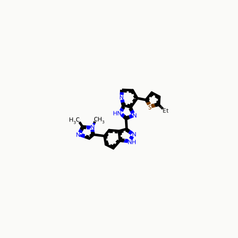 CCc1ccc(-c2ccnc3[nH]c(-c4n[nH]c5ccc(-c6cnc(C)n6C)cc45)nc23)s1